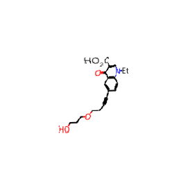 CCn1cc(C(=O)O)c(=O)c2cc(C#CCCOCCCO)ccc21